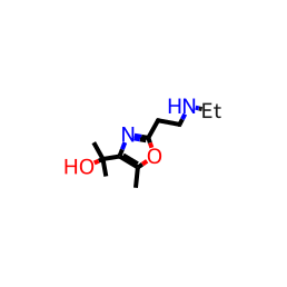 CCNCCc1nc(C(C)(C)O)c(C)o1